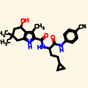 Cc1c(C(=O)NC(CCC2CC2)C(=O)Nc2ccc(C#N)cc2)[nH]c2c1C(O)CC(C)(C)C2